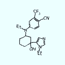 CCN(c1ccc(C#N)c(C(F)(F)F)c1)C1CCCC(O)(c2cncn2CC)C1